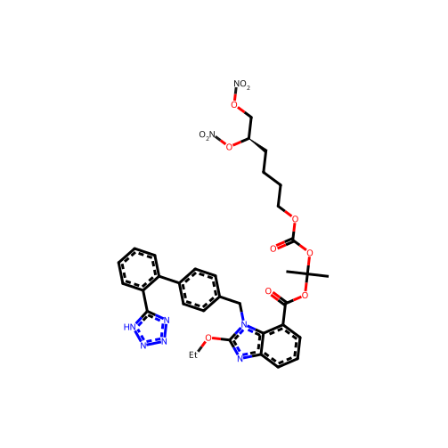 CCOc1nc2cccc(C(=O)OC(C)(C)OC(=O)OCCCC[C@H](CO[N+](=O)[O-])O[N+](=O)[O-])c2n1Cc1ccc(-c2ccccc2-c2nnn[nH]2)cc1